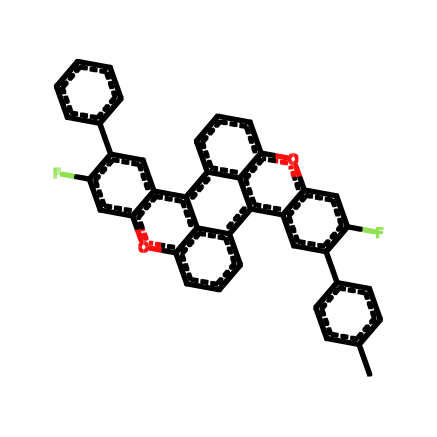 Cc1ccc(-c2cc3c(cc2F)oc2cccc4c2c3c2cccc3oc5cc(F)c(-c6ccccc6)cc5c4c32)cc1